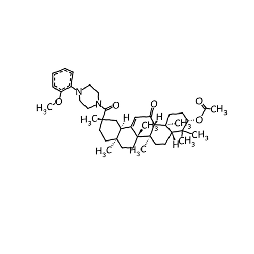 COc1ccccc1N1CCN(C(=O)[C@@]2(C)CC[C@]3(C)CC[C@]4(C)C(=CC(=O)[C@@H]5[C@@]6(C)CC[C@H](OC(C)=O)C(C)(C)[C@@H]6CC[C@]54C)[C@@H]3C2)CC1